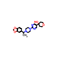 C[C@@H](c1ccc2c(c1)OCO2)N1CCN(c2ncc(C3(O)CCOCC3)cn2)CC1